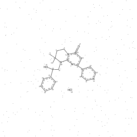 CC1(C)CCn2c(nc(-c3ccncc3)cc2=O)N1CC(O)c1ccccc1.Cl